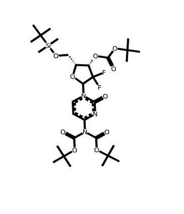 CC(C)(C)OC(=O)O[C@H]1[C@@H](CO[Si](C)(C)C(C)(C)C)OC(n2ccc(N(C(=O)OC(C)(C)C)C(=O)OC(C)(C)C)nc2=O)C1(F)F